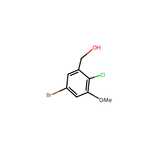 COc1cc(Br)cc(CO)c1Cl